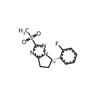 CS(=O)(=O)c1nc2n(n1)[C@H](c1ccccc1F)CC2